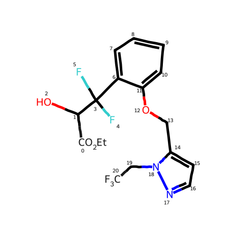 CCOC(=O)C(O)C(F)(F)c1ccccc1OCc1ccnn1CC(F)(F)F